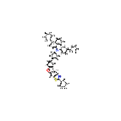 c1ccc(-c2ccc(N(c3ccc(-c4ccc5oc6cc7sc(-c8ccccc8)nc7cc6c5c4)cc3)c3ccc(-c4ccccc4)c4ccccc34)cc2)cc1